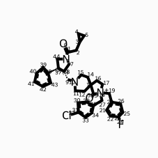 O=C(CC1CC1)N1C[C@H](CN2CCC3(CC2)CC[N+](Cc2ccc(F)cc2)(Cc2ccc(Cl)cc2)C3=O)[C@@H](c2ccccc2)C1